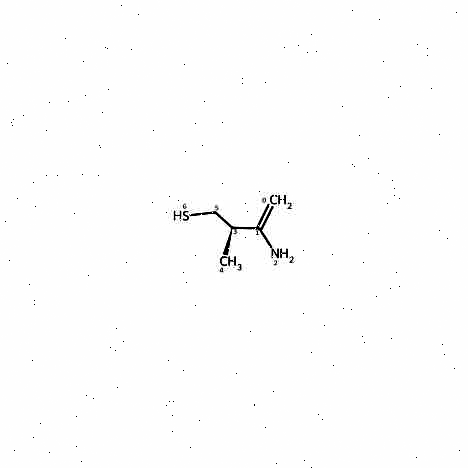 C=C(N)[C@@H](C)CS